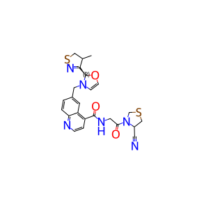 CC1CSN=C1[C@H]1OC=CN1Cc1ccc2nccc(C(=O)NCC(=O)N3CSCC3C#N)c2c1